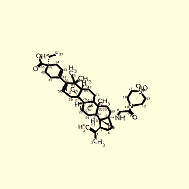 C=C(C)[C@@H]1CC[C@]2(NCC(=O)N3CCS(=O)(=O)CC3)CC[C@]3(C)[C@H](CC[C@@H]4[C@@]5(C)CC=C(C6=CC[C@](CF)(C(=O)O)CC6)C(C)(C)[C@@H]5CC[C@]43C)[C@@H]12